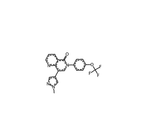 Cn1cc(-c2cn(-c3ccc(OC(F)(F)F)cc3)c(=O)c3cccnc23)cn1